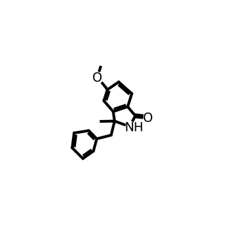 COc1ccc2c(c1)C(C)(Cc1ccccc1)NC2=O